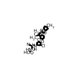 Cc1ccc(S(=O)(=O)n2cc(C(C)C)c3cc(Oc4c(Cl)cc(N/N=C(/C#N)C(=O)NC(=O)O)cc4Cl)ccc32)cc1